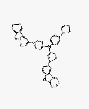 C1=C(c2ccc3oc4ccccc4c3c2)CCC=1N(c1ccc(-c2ccccc2)cc1)c1ccc(-c2ccc3sc4ccccc4c3c2)cc1